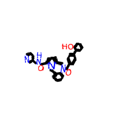 O=C(NCc1cccnc1)c1ccc2n1Cc1ccccc1N(C(=O)c1ccc(-c3ccccc3O)cc1)C2